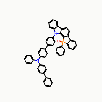 O=P1(c2ccccc2)c2ccccc2-c2ccc3c4ccccc4n(-c4ccc(-c5ccc(N(c6ccccc6)c6ccc(-c7ccccc7)cc6)cc5)cc4)c3c21